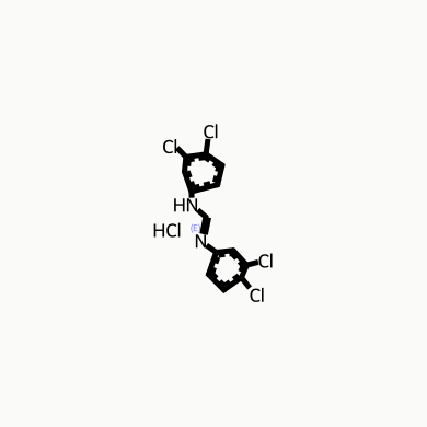 Cl.Clc1ccc(/N=C/Nc2ccc(Cl)c(Cl)c2)cc1Cl